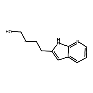 O[CH][CH]CCc1cc2cccnc2[nH]1